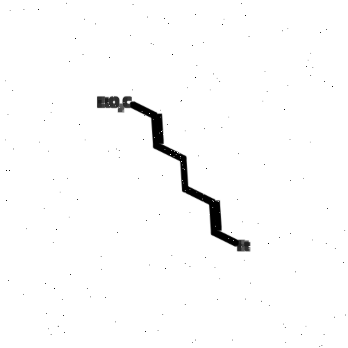 CCC=CCCC=CC(=O)OCC